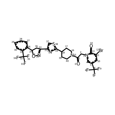 O=C(Cn1cc(C(F)(F)F)cc(Br)c1=O)N1CCC(c2nc(C3=NOC(c4ccccc4C(F)(F)F)C3)cs2)CC1